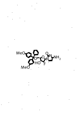 COc1ccc(C(OC[C@H]2O[C@@H](n3ccc(N)nc3=O)[C@@H](F)[C@@H]2O)(c2ccccc2)c2ccc(OC)cc2)cc1